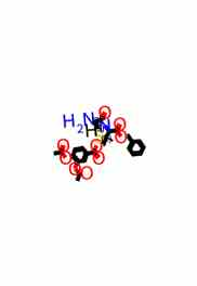 CC(=O)Oc1ccc(C(=O)OC[C@]2(C)S[C@H]3[C@H](N)C(=O)N3C2C(=O)OCc2ccccc2)cc1OC(C)=O